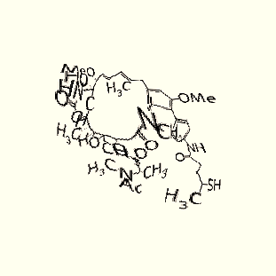 COc1cc2cc(c1-c1ccc(NC(=O)CCC(C)S)cc1)N(C)C(=O)C[C@H](OC(=O)[C@H](C)N(C)C(C)=O)[C@]1(C)O[C@H]1[C@H](C)[C@@H]1C[C@@](O)(NC(=O)O1)[C@H](OC)/C=C/C=C(\C)C2